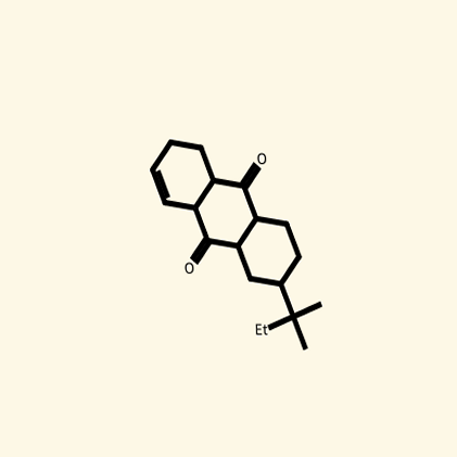 CCC(C)(C)C1CCC2C(=O)C3CCC=CC3C(=O)C2C1